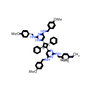 C=C(/C=C\C(=C/C)OC)CNc1nc(NCC2=CC[C@H](OC)C=C2)cc([C@H]2[C@@H](C3=CC=CCC3)[C@H](C3=CC(NCc4ccc(OC)cc4)=NC(NC[C@H]4C=CC(OC)=CC4)N3)[C@@H]2C2=CC=CCC2)n1